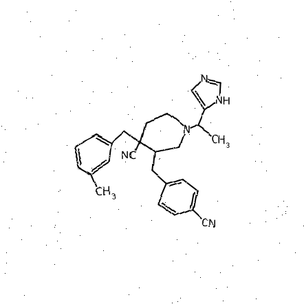 Cc1cccc(CC2(C#N)CCN(C(C)c3cnc[nH]3)CC2Cc2ccc(C#N)cc2)c1